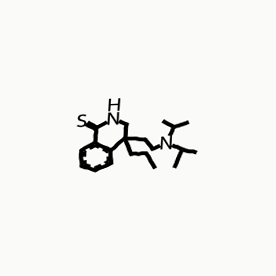 CCCC1(CCN(C(C)C)C(C)C)CNC(=S)c2ccccc21